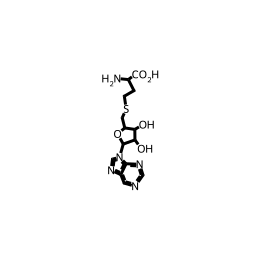 NC(CCSCC1OC(n2cnc3cncnc32)C(O)C1O)C(=O)O